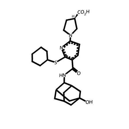 O=C(NC1C2CC3CC1CC(O)(C3)C2)c1ccc(N2CC[C@@H](C(=O)O)C2)nc1SC1CCCCC1